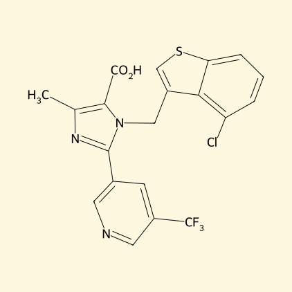 Cc1nc(-c2cncc(C(F)(F)F)c2)n(Cc2csc3cccc(Cl)c23)c1C(=O)O